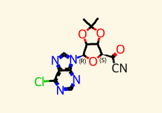 CC1(C)OC2C(O1)[C@H](n1cnc3c(Cl)ncnc31)O[C@@H]2C(=O)C#N